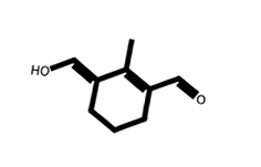 CC1=C(C=O)CCC/C1=C\O